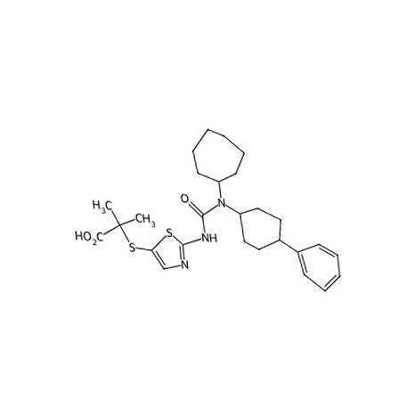 CC(C)(Sc1cnc(NC(=O)N(C2CCCCCC2)C2CCC(c3ccccc3)CC2)s1)C(=O)O